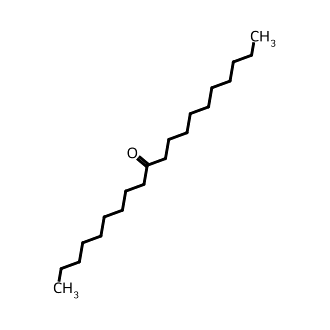 CCCCCCCCCCC(=O)CCCCCCCCC